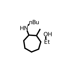 CCCCNC1CCCCCC1C.CCO